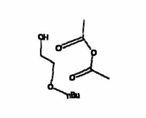 CC(=O)OC(C)=O.CCCCOCCO